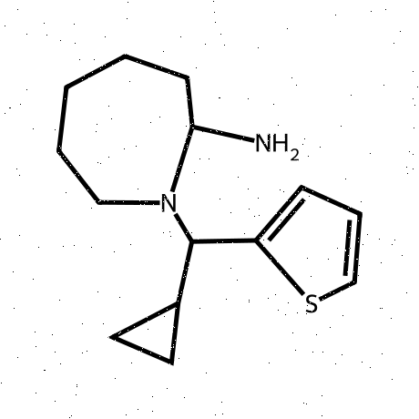 NC1CCCCCN1C(c1cccs1)C1CC1